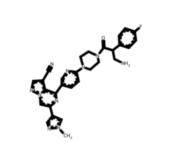 Cn1cc(-c2cn3ncc(C#N)c3c(-c3ccc(N4CCN(C(=O)C(CN)c5ccc(F)cc5)CC4)nc3)n2)cn1